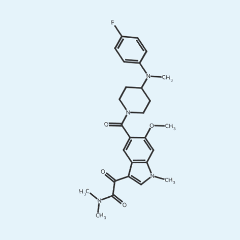 COc1cc2c(cc1C(=O)N1CCC(N(C)c3ccc(F)cc3)CC1)c(C(=O)C(=O)N(C)C)cn2C